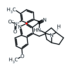 COc1ccc2ncc(C#N)c(CCN3C4CC[C@@H]3CC(NCc3ccc(C)c([N+](=O)[O-])c3)C4)c2c1